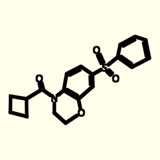 O=C(C1CCC1)N1CCOc2cc(S(=O)(=O)c3ccccc3)ccc21